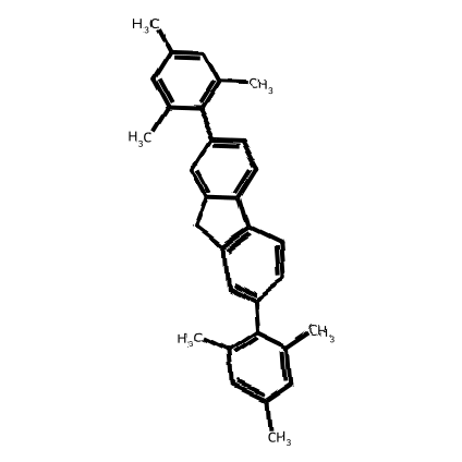 Cc1cc(C)c(-c2ccc3c(c2)[CH]c2cc(-c4c(C)cc(C)cc4C)ccc2-3)c(C)c1